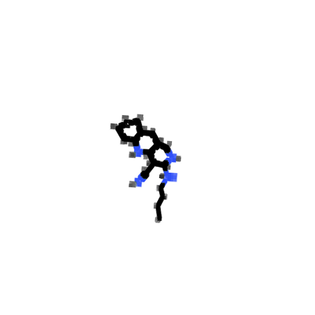 CCCCNc1ncc2cc3ccccc3nc2c1C#N